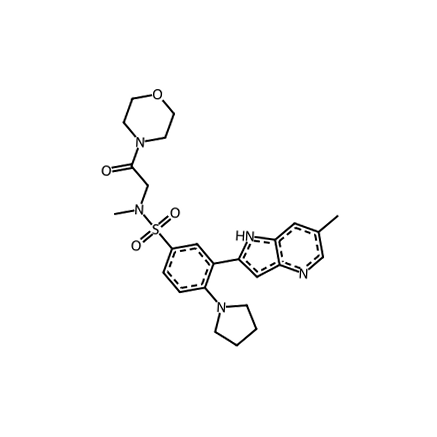 Cc1cnc2cc(-c3cc(S(=O)(=O)N(C)CC(=O)N4CCOCC4)ccc3N3CCCC3)[nH]c2c1